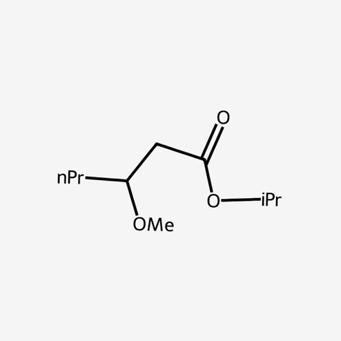 CCCC(CC(=O)OC(C)C)OC